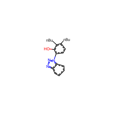 CCCCc1ccc(-n2nnc3ccccc32)c(O)c1CCCC